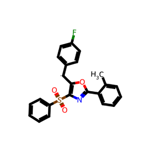 Cc1ccccc1-c1nc(S(=O)(=O)c2ccccc2)c([CH]c2ccc(F)cc2)o1